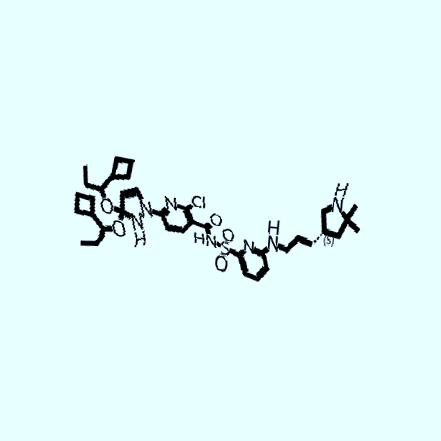 CCC(OC1(OC(CC)C2CCC2)C=CN(c2ccc(C(=O)NS(=O)(=O)c3cccc(NCCC[C@@H]4CNC(C)(C)C4)n3)c(Cl)n2)N1)C1CCC1